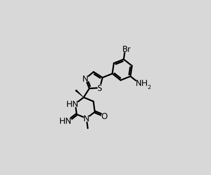 CN1C(=N)N[C@](C)(c2ncc(-c3cc(N)cc(Br)c3)s2)CC1=O